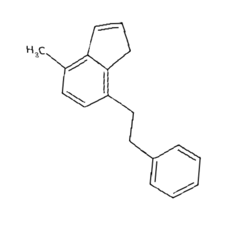 Cc1ccc(CCc2ccccc2)c2c1C=CC2